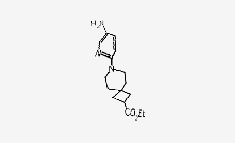 CCOC(=O)C1CC2(CCN(c3ccc(N)cn3)CC2)C1